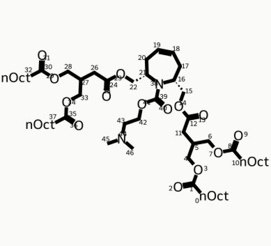 CCCCCCCCC(=O)OCC(COC(=O)CCCCCCCC)CC(=O)OC[C@H]1CC=CC[C@@H](COC(=O)CC(COC(=O)CCCCCCCC)COC(=O)CCCCCCCC)N1C(=O)OCCN(C)C